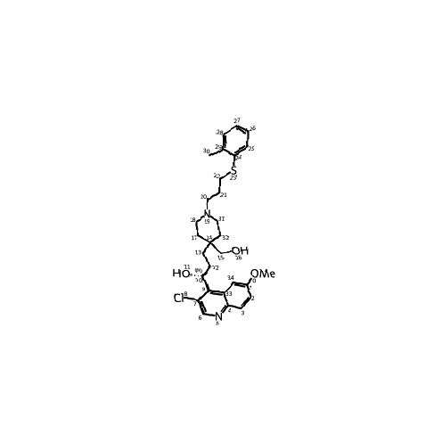 COc1ccc2ncc(Cl)c([C@H](O)CCC3(CO)CCN(CCCSc4ccccc4C)CC3)c2c1